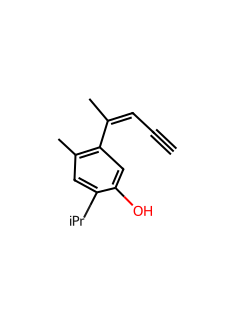 C#C/C=C(/C)c1cc(O)c(C(C)C)cc1C